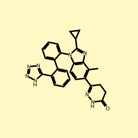 Cc1c(C2=NNC(=O)CC2)ccc2c1nc(C1CC1)n2-c1ccccc1-c1ccccc1-c1nnn[nH]1